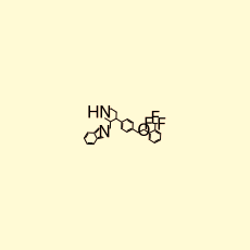 FC(F)(F)c1ccccc1OCc1ccc(C2CCNCC2Cn2cc3ccccc3c2)cc1